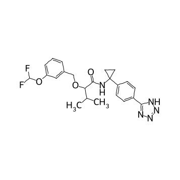 CC(C)C(OCc1cccc(OC(F)F)c1)C(=O)NC1(c2ccc(-c3nnn[nH]3)cc2)CC1